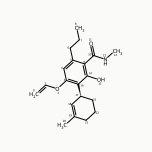 C=COc1cc(CCC)c(C(=O)NC)c(O)c1[C@@H]1C=C(C)CCC1